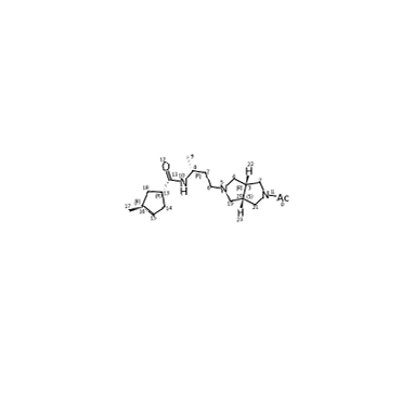 CC(=O)N1C[C@H]2CN(CC[C@@H](C)NC(=O)[C@@H]3CC[C@@H](C)C3)C[C@H]2C1